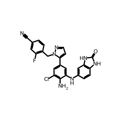 N#Cc1ccc(Cn2nccc2-c2cc(Cl)c(N)c(Nc3ccc4[nH]c(=O)[nH]c4c3)c2)c(F)c1